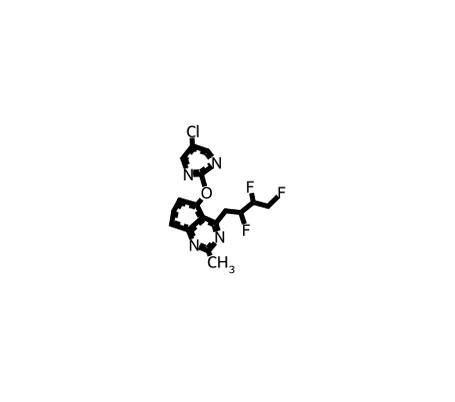 Cc1nc(CC(F)C(F)CF)c2c(Oc3ncc(Cl)cn3)cccc2n1